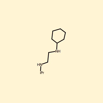 CC(C)NCCNC1CCCCC1